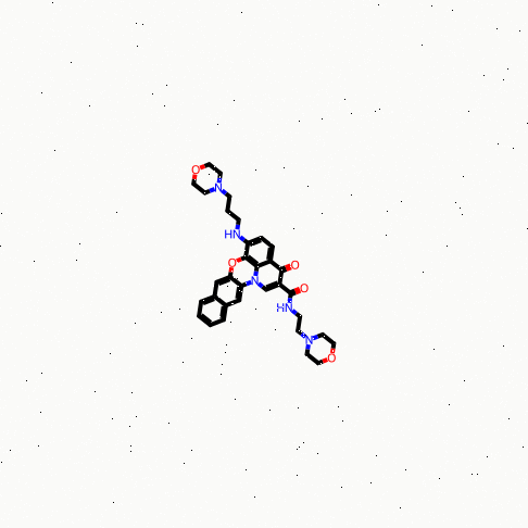 O=C(NCCN1CCOCC1)c1cn2c3c(c(NCCCN4CCOCC4)ccc3c1=O)Oc1cc3ccccc3cc1-2